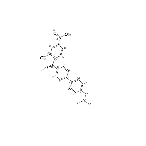 CN(C)Cc1ccc(-c2ccc(C(=O)c3ccc([N+](=O)[O-])cc3Cl)cc2)cc1